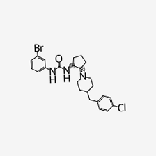 O=C(Nc1cccc(Br)c1)N[C@@H]1CCC[C@H]1N1CCC(Cc2ccc(Cl)cc2)CC1